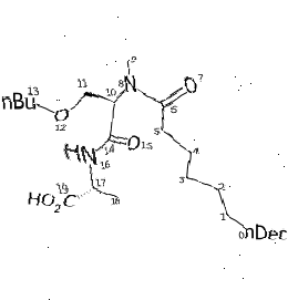 CCCCCCCCCCCCCCCC(=O)N(C)[C@H](COCCCC)C(=O)N[C@H](C)C(=O)O